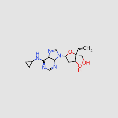 C=C[C@]1(CO)O[C@@H](N2C=NC3C(NC4CC4)=NC=NC32)C[C@@H]1O